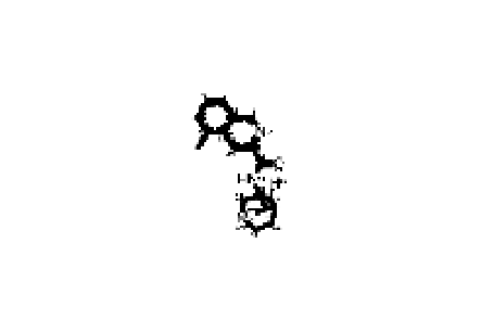 Cc1cccc2cnc(C(=O)N[C@H]3CN4CCC3CC4)cc12